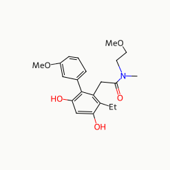 CCc1c(O)cc(O)c(-c2cccc(OC)c2)c1CC(=O)N(C)CCOC